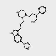 OCC(NC[C@@H]1CCNCC1CCCc1c[nH]c2ccc(-n3cnnc3)cc12)c1ccccc1